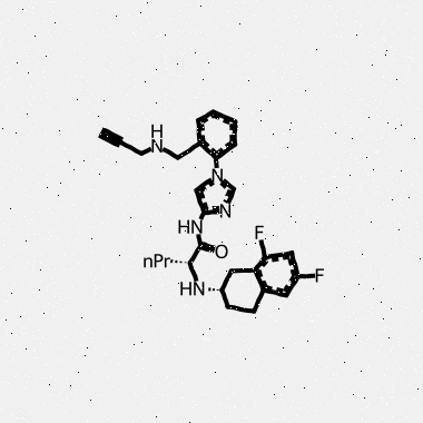 C#CCNCc1ccccc1-n1cnc(NC(=O)[C@@H](CCC)N[C@H]2CCc3cc(F)cc(F)c3C2)c1